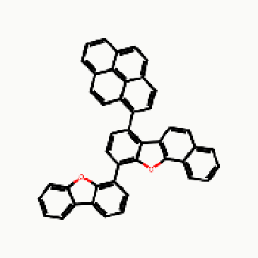 c1ccc2c(c1)ccc1c2oc2c(-c3cccc4c3oc3ccccc34)ccc(-c3ccc4ccc5cccc6ccc3c4c56)c21